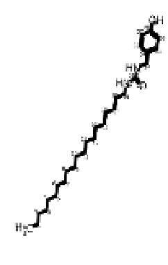 CCCCCCCCCCCCCCCCCCCCNC(=O)NCc1ccc(O)cc1